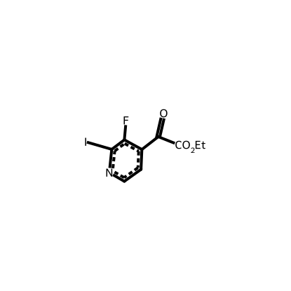 CCOC(=O)C(=O)c1ccnc(I)c1F